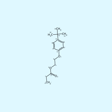 [CH2]CC(=O)OCCOc1ccc(C(C)(C)C)cc1